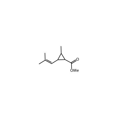 COC(=O)C1C(C)C1C=C(C)C